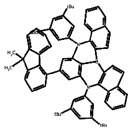 CC(C)(C)c1cc(N2c3cc(-c4cccc5c4-c4ccccc4C5(C)C)cc4c3B(c3ccc5ccccc5c32)c2ccc3ccccc3c2N4c2cc(C(C)(C)C)cc(C(C)(C)C)c2)cc(C(C)(C)C)c1